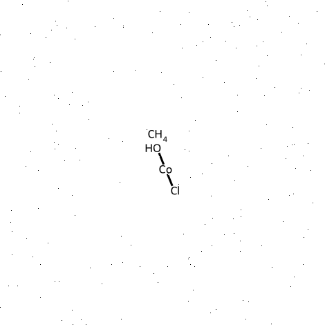 C.[OH][Co][Cl]